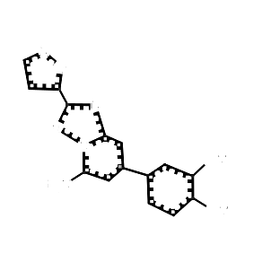 COc1ccc(-c2cc(N)n3nc(-c4ccno4)nc3c2)cc1OC